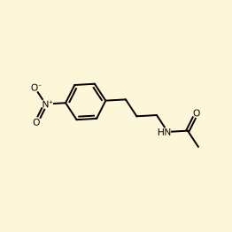 CC(=O)NCCCc1ccc([N+](=O)[O-])cc1